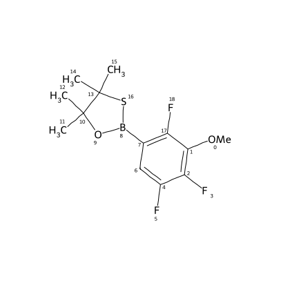 COc1c(F)c(F)cc(B2OC(C)(C)C(C)(C)S2)c1F